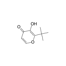 CC(C)(C)c1occc(=O)c1O